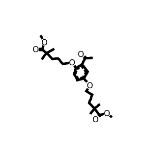 COC(=O)C(C)(C)CCCOc1ccc(OCCCC(C)(C)C(=O)OC)c(C(C)=O)c1